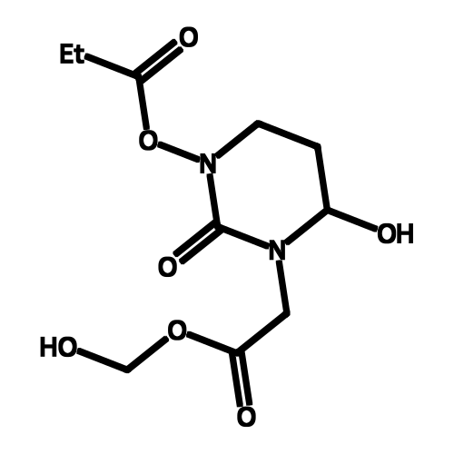 CCC(=O)ON1CCC(O)N(CC(=O)OCO)C1=O